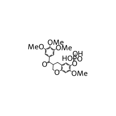 COc1cc2c(cc1OP(=O)(O)O)CC(C(=O)c1cc(OC)c(OC)c(OC)c1)CO2